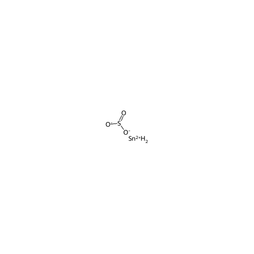 O=S([O-])[O-].[SnH2+2]